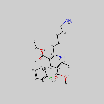 CCOC(=O)C1=C(CCCCCN)NC(C)=C(C(=O)OC)[C@@H]1c1ccccc1Cl